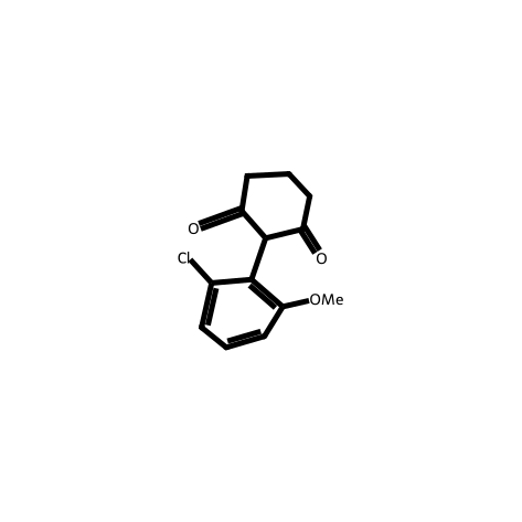 COc1cccc(Cl)c1C1C(=O)CCCC1=O